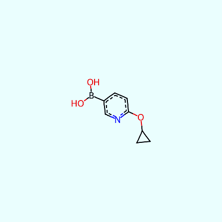 OB(O)c1ccc(OC2CC2)nc1